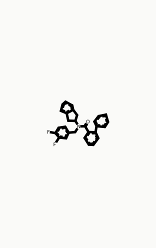 O=C(c1ccccc1-c1ccccc1)N(Cc1ccc(F)c(F)c1)C1Cc2ccccc2C1